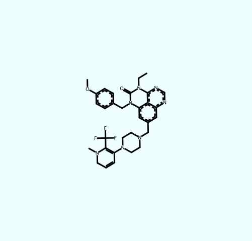 CCN1C(=O)N(Cc2ccc(OC)cc2)c2cc(CN3CCN(C4=C(C(F)(F)F)N(C)CC=C4)CC3)cc3ncnc1c23